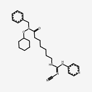 N#C/N=C(\NCCCCCCC(=O)N(Cc1ccccc1)OC1CCCCC1)Nc1ccncc1